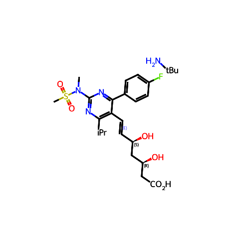 CC(C)(C)N.CC(C)c1nc(N(C)S(C)(=O)=O)nc(-c2ccc(F)cc2)c1/C=C/[C@@H](O)C[C@@H](O)CC(=O)O